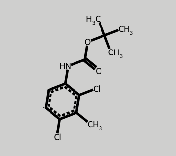 Cc1c(Cl)[c]cc(NC(=O)OC(C)(C)C)c1Cl